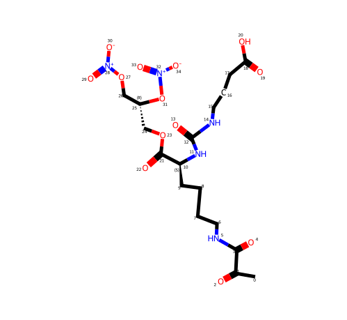 CC(=O)C(=O)NCCCC[C@H](NC(=O)NCCCC(=O)O)C(=O)OC[C@H](CO[N+](=O)[O-])O[N+](=O)[O-]